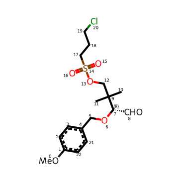 COc1ccc(CO[C@@H](C=O)C(C)(C)COS(=O)(=O)CCCCl)cc1